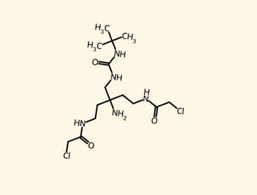 CC(C)(C)NC(=O)NCC(N)(CCNC(=O)CCl)CCNC(=O)CCl